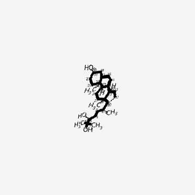 C[C@H](CC[C@@H](O)C(C)(C)O)[C@H]1CC[C@H]2C3=CC=C4C[C@@H](O)CC[C@]4(C)[C@H]3CC[C@]12C